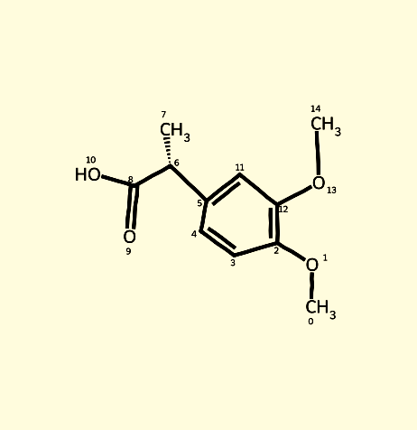 COc1ccc([C@@H](C)C(=O)O)cc1OC